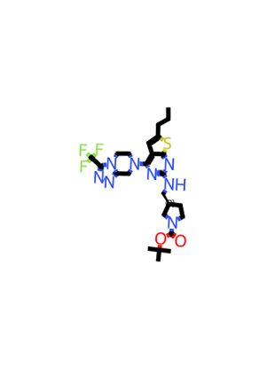 CCCc1cc2c(N3CCn4c(nnc4C(F)(F)F)C3)nc(NC[C@H]3CCN(C(=O)OC(C)(C)C)C3)nc2s1